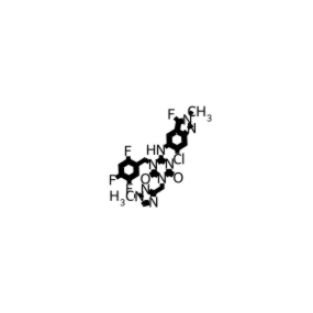 Cn1cnc(Cn2c(=O)nc(Nc3cc4c(F)n(C)nc4cc3Cl)n(Cc3cc(F)c(F)cc3F)c2=O)n1